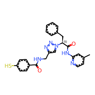 Cc1ccnc(NC(=O)[C@H](Cc2ccccc2)n2cc(CNC(=O)c3ccc(S)cc3)nn2)c1